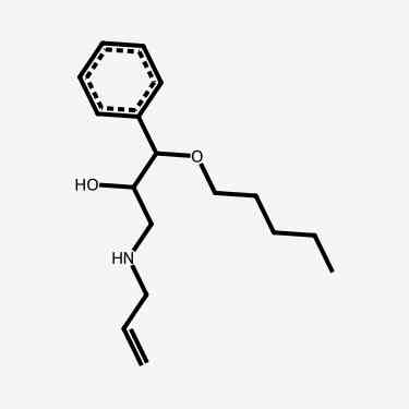 C=CCNCC(O)C(OCCCCC)c1ccccc1